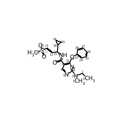 CCN(C)c1ncc(C(=O)NC(/C=C/S(C)(=O)=O)C2CC2)c(Oc2ccccc2)n1